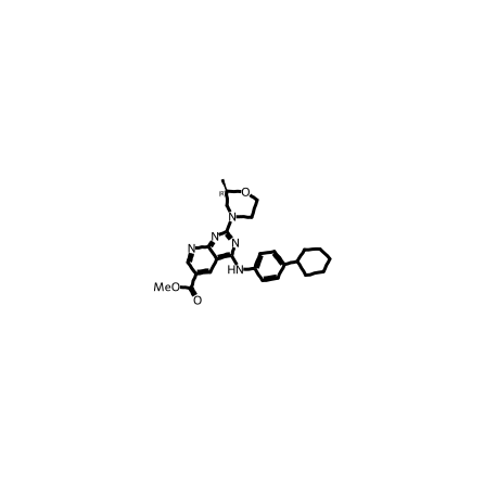 COC(=O)c1cnc2nc(N3CCO[C@H](C)C3)nc(Nc3ccc(C4CCCCC4)cc3)c2c1